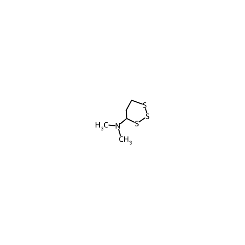 CN(C)C1CCSSS1